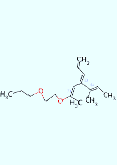 C=C/C=C(\C=C(/C)OCCOCCC)C(/C)=C/C